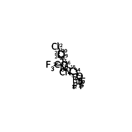 N#Cn1c(-c2ccc(OC(F)(F)C(F)F)cc2)cc(-c2ccc(Cl)cc2)c1C(F)(F)F